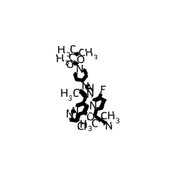 Cc1c(-c2cc(OC(c3ccc(F)cn3)C(C)(C)C#N)c3c(Cl)cnn3c2)nnn1C1CCN(C(=O)OC(C)(C)C)CC1